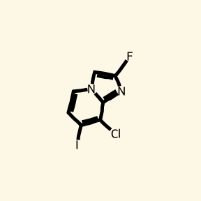 Fc1cn2ccc(I)c(Cl)c2n1